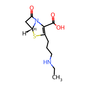 CCNCCCC1=C(C(=O)O)N2C(=O)C[C@H]2S1